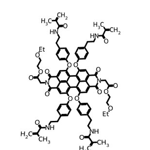 C=C(C)C(=O)NCCc1ccc(Oc2cc3c4c(cc(Oc5ccc(CCNC(=O)C(=C)C)cc5)c5c6c(Oc7ccc(CCNC(=O)C(=C)C)cc7)cc7c8c(cc(Oc9ccc(CCNC(=O)C(=C)C)cc9)c(c2c45)c86)C(=O)N(CC(=O)OCCOCC)C7=O)C(=O)N(CC(=O)OCCOCC)C3=O)cc1